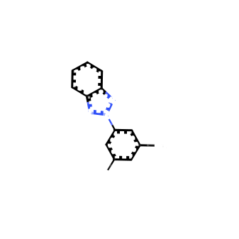 CCc1cc(-n2nc3ccccc3n2)cc(C(C)(C)C)c1